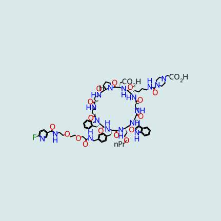 CCCOCC[C@@H]1NC(=O)[C@H](Cc2ccc(CNC(=O)COCCOCCNC(=O)c3ccc(F)nc3)cc2)NC(=O)[C@H](Cc2ccccc2)N(C)C(=O)CNC(=O)CNC(=O)[C@H]2CCCN2C(=O)[C@H](CC(=O)O)NC(=O)[C@H](CCCCNC(=O)N2CCN(CC(=O)O)CC2)NC(=O)CNC(=O)[C@H](Cc2c[nH]c3ccccc23)NC1=O